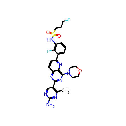 Cc1nc(N)ncc1-c1nc(N2CCOCC2)c2nc(-c3cccc(NS(=O)(=O)CCCF)c3F)ccc2n1